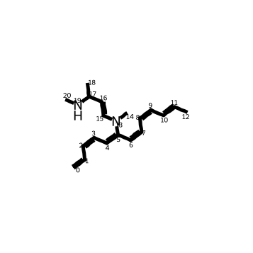 C=C\C=C/C=C(/C=C\C=C/C=C/C)N(C)/C=C/C(C)NC